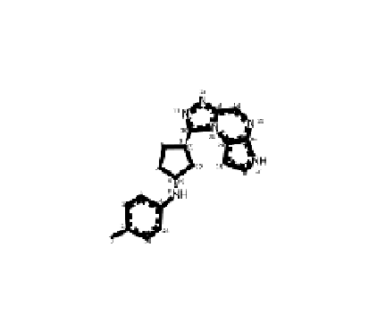 Cc1ccc(N[C@@H]2CC[C@@H](c3nnc4cnc5[nH]ccc5n34)C2)cc1